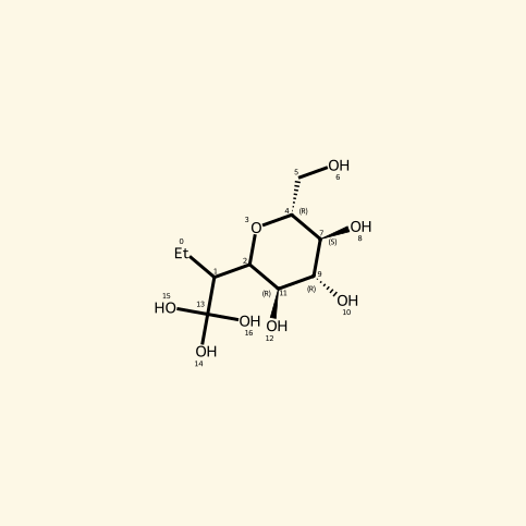 CCC(C1O[C@H](CO)[C@@H](O)[C@H](O)[C@H]1O)C(O)(O)O